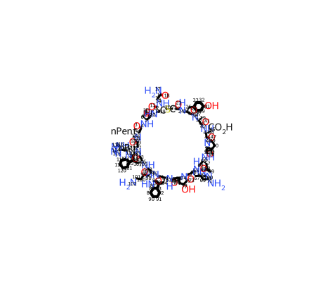 CCCCC[C@H]1C(=O)N[C@@H](CC(C)C)C(=O)N[C@H](C(=O)NCC(N)=O)CSCC(=O)N[C@@H](Cc2ccc(O)cc2)C(=O)N(C)[C@@H](C)C(=O)N[C@@H](CC(=O)O)C(=O)N2CCC[C@H]2C(=O)N[C@@H](Cc2cnc[nH]2)C(=O)N[C@@H](CCCCN)C(=O)N2C[C@H](O)C[C@H]2C(=O)N[C@@H](Cc2c[nH]c3ccccc23)C(=O)N[C@@H](CCCCN)C(=O)N[C@@H](Cc2cn(Cc3nnn[nH]3)c3ccccc23)C(=O)N(C)[C@@H](CCCC)C(=O)N1C